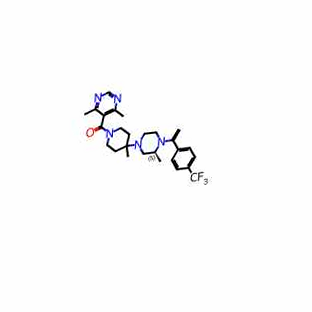 C=C(c1ccc(C(F)(F)F)cc1)N1CCN(C2(C)CCN(C(=O)c3c(C)ncnc3C)CC2)C[C@@H]1C